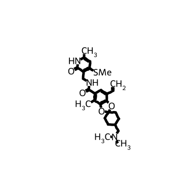 C=Cc1cc(C(=O)NCc2c(SC)cc(C)[nH]c2=O)c(C)c2c1OC1(CCC(CN(C)C)CC1)O2